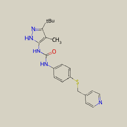 Cc1c(C(C)(C)C)n[nH]c1NC(=O)Nc1ccc(SCc2ccncc2)cc1